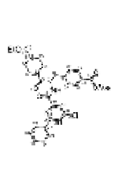 CCOC(=O)N1CCN(C(=O)C(Cc2ccc(C(=O)OC)cc2)NC(=O)c2cc(Cl)nc(-c3ccccc3)n2)CC1